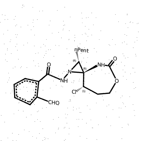 CCCCC[C@H]1N(NC(=O)c2ccccc2C=O)[C@]12NC(=O)OCC[C@@H]2Cl